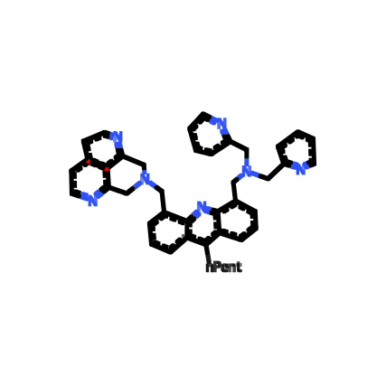 CCCCCc1c2cccc(CN(Cc3ccccn3)Cc3ccccn3)c2nc2c(CN(Cc3ccccn3)Cc3ccccn3)cccc12